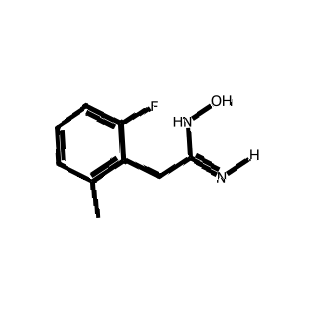 [H]/N=C(/Cc1c(C)cccc1F)NO